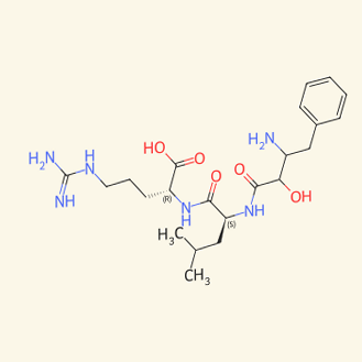 CC(C)C[C@H](NC(=O)C(O)C(N)Cc1ccccc1)C(=O)N[C@H](CCCNC(=N)N)C(=O)O